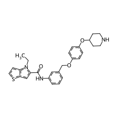 CCn1c(C(=O)Nc2cccc(COc3ccc(OC4CCNCC4)cc3)c2)cc2sccc21